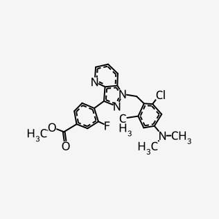 COC(=O)c1ccc(-c2nn(Cc3c(C)cc(N(C)C)cc3Cl)c3cccnc23)c(F)c1